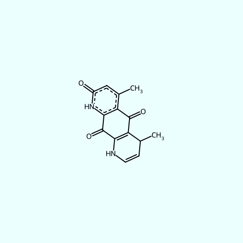 Cc1cc(=O)[nH]c2c1C(=O)C1=C(NC=CC1C)C2=O